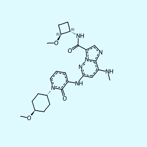 CNc1cc(Nc2cccn([C@H]3CC[C@H](OC)CC3)c2=O)nn2c(C(=O)N[C@H]3CC[C@@H]3OC)cnc12